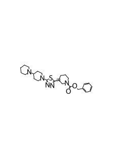 O=C(OCc1ccccc1)N1CCC[C@H](c2nnc(N3CCC(N4CCCCC4)CC3)s2)C1